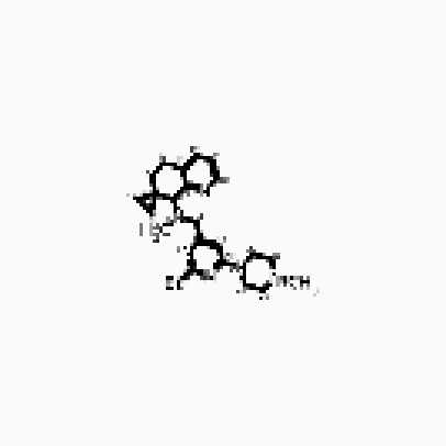 CCc1nc(CN(C)C2c3ncccc3CCC23CC3)cc(N2CCN(C)CC2)n1